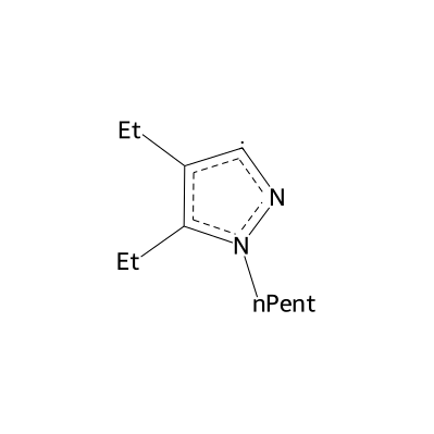 CCCCCn1n[c]c(CC)c1CC